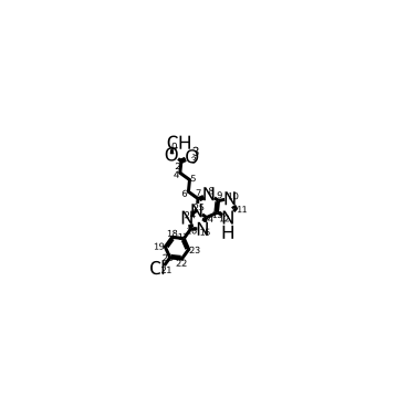 COC(=O)CCCc1nc2nc[nH]c2c2nc(-c3ccc(Cl)cc3)nn12